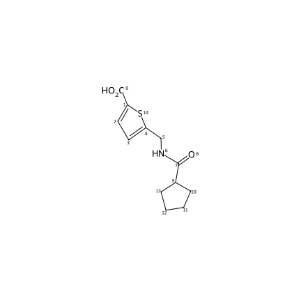 O=C(O)c1ccc(CNC(=O)C2CCCC2)s1